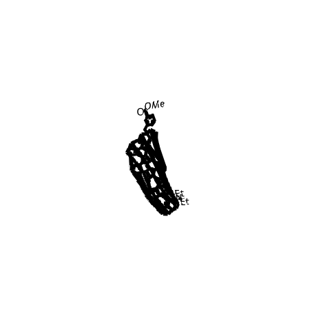 CCN(CC)C12c3c4c5c6c7c8c9c%10c(c1c1c%11c2c2c%12c3c5c3c5c6c6c7c7c9c9c%13c%10c1c1c%10c%11c%11c2c2c%12c3c3c5c5c6c6c7c9c7c(c%131)c1c%10c%11c9c2c3c2c9c1c7c6c52)C48Cc1cccc(C(=O)OC)c1